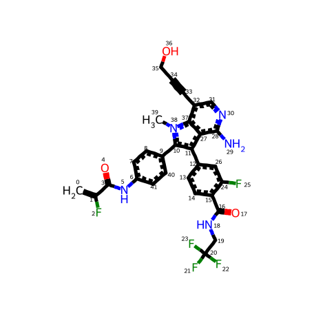 C=C(F)C(=O)Nc1ccc(-c2c(-c3ccc(C(=O)NCC(F)(F)F)c(F)c3)c3c(N)ncc(C#CCO)c3n2C)cc1